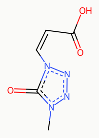 Cn1nnn(/C=C\C(=O)O)c1=O